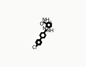 NC(=O)c1cccc2[nH]c(C3CCC(c4ccc(Cl)cc4)CC3)nc12